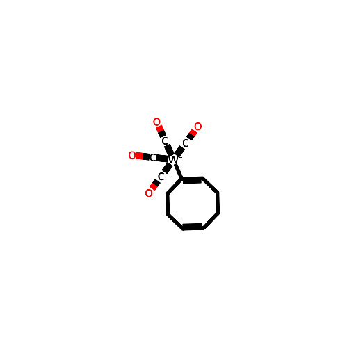 O=[C]=[W-](=[C]=O)(=[C]=O)(=[C]=O)[C]1=CCCC=CCC1